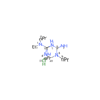 CCCN(CC)C(=N)NC(=N)N(CCC)CCC.Cl